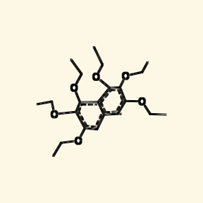 CCOc1[c]c2cc(OCC)c(OCC)c(OCC)c2c(OCC)c1OCC